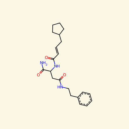 NC(=O)C(CC(=O)NCCc1ccccc1)NC(=O)/C=C/CC1CCCC1